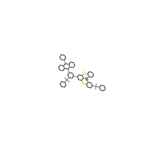 CC(C)(c1ccccc1)c1cc(-c2cc3c4c(c2)Sc2ccc(C(C)(C)c5ccccc5)cc2B4c2ccccc2S3)cc(-c2c3ccccc3c(-c3ccccc3)c3ccccc23)c1